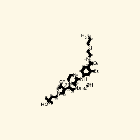 CCc1cc(Nc2nccn3c(-c4cn(CCC(C)(C)O)nc4C(F)(F)F)cnc23)ccc1C(=O)NCCOCCN.O=CO